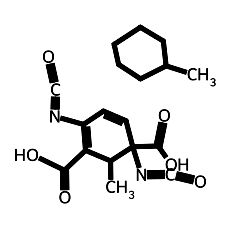 CC1C(C(=O)O)=C(N=C=O)C=CC1(N=C=O)C(=O)O.CC1CCCCC1